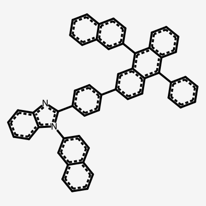 c1ccc(-c2c3ccccc3c(-c3ccc4ccccc4c3)c3cc(-c4ccc(-c5nc6ccccc6n5-c5ccc6ccccc6c5)cc4)ccc23)cc1